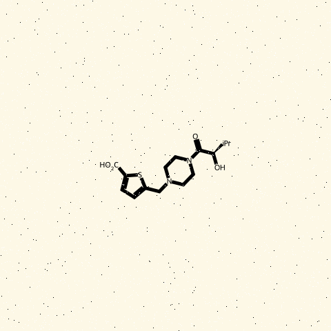 CC(C)[C@@H](O)C(=O)N1CCN(Cc2ccc(C(=O)O)s2)CC1